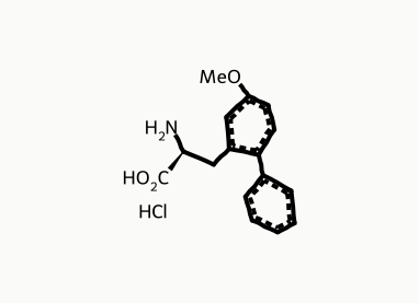 COc1ccc(-c2ccccc2)c(C[C@H](N)C(=O)O)c1.Cl